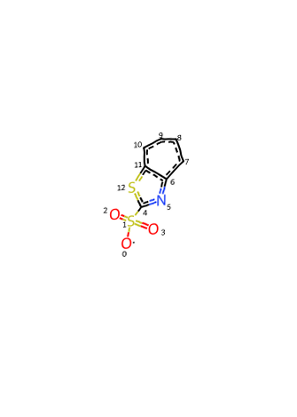 [O]S(=O)(=O)c1nc2ccccc2s1